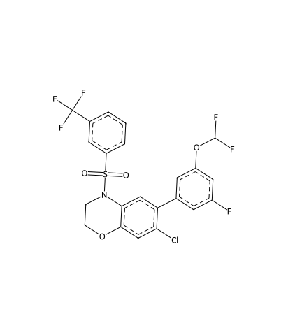 O=S(=O)(c1cccc(C(F)(F)F)c1)N1CCOc2cc(Cl)c(-c3cc(F)cc(OC(F)F)c3)cc21